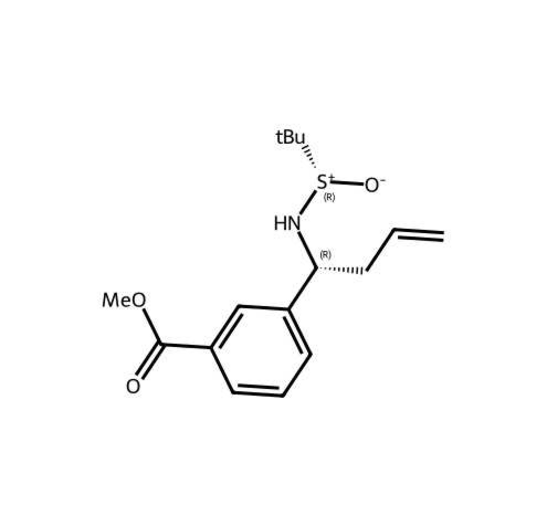 C=CC[C@@H](N[S@@+]([O-])C(C)(C)C)c1cccc(C(=O)OC)c1